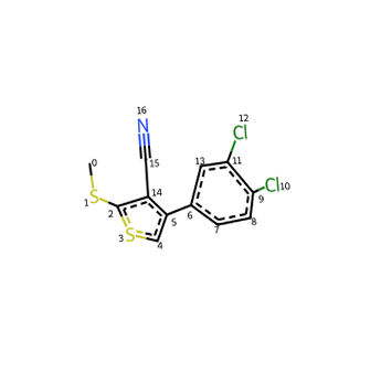 CSc1scc(-c2ccc(Cl)c(Cl)c2)c1C#N